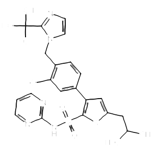 CC(C)Cc1cc(-c2ccc(Cn3ccnc3C(C)(C)O)c(Cl)c2)c(S(=O)(=O)Nc2ncccn2)s1